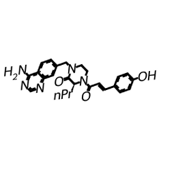 CCC[C@H]1C(=O)N(Cc2ccc3c(N)ncnc3c2)CCN1C(=O)C=Cc1ccc(O)cc1